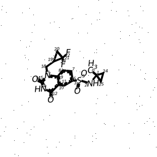 CC1(NS(=O)(=O)c2ccc3c(c2)c(=O)[nH]c(=O)n3CC2CC2(F)F)CC1